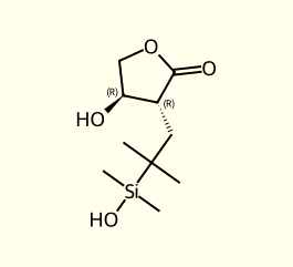 CC(C)(C[C@H]1C(=O)OC[C@@H]1O)[Si](C)(C)O